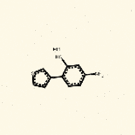 Cl.Nc1ccc(-c2ccsc2)c(O)c1